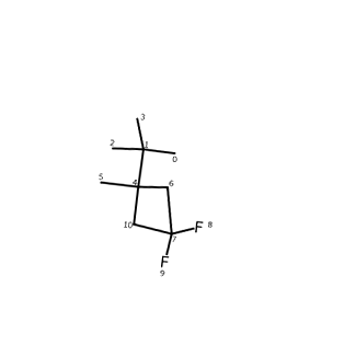 CC(C)(C)C1(C)CC(F)(F)C1